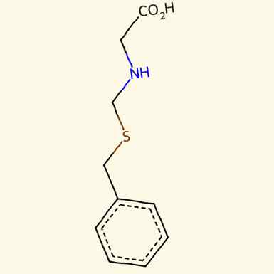 O=C(O)CNCSCc1ccccc1